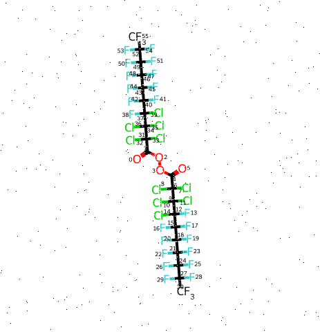 O=C(OOC(=O)C(Cl)(Cl)C(Cl)(Cl)C(F)(Cl)C(F)(F)C(F)(F)C(F)(F)C(F)(F)C(F)(F)C(F)(F)F)C(Cl)(Cl)C(Cl)(Cl)C(F)(Cl)C(F)(F)C(F)(F)C(F)(F)C(F)(F)C(F)(F)C(F)(F)F